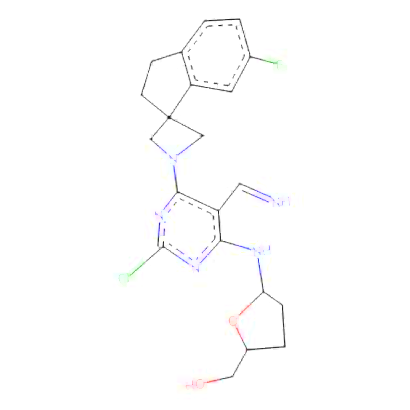 N=Cc1c(NC2CCC(CO)O2)nc(Cl)nc1N1CC2(CCc3ccc(F)cc32)C1